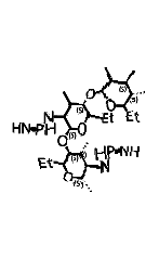 CCC1O[C@@H](O[C@@H]2C(CC)O[C@@H](C)C(N=[PH]=N)[C@H]2C)C(N=[PH]=N)C(C)[C@@H]1OC1OC(CC)[C@@H](C)[C@H](C)C1C